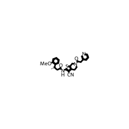 COc1ccccc1[C@@H](C)CC(=O)Nc1sc2c(c1C#N)CCN(C(=O)Cc1cccnc1)C2